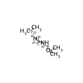 CC(C)CCN1CC[C@@H](NCCOC(C)C)C1